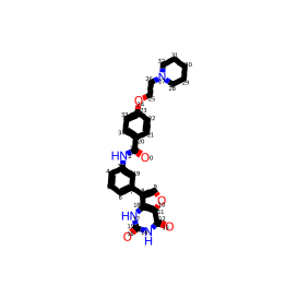 O=C(Nc1cccc(-c2coc3c(=O)[nH]c(=O)[nH]c23)c1)c1ccc(OCCN2CCCCC2)cc1